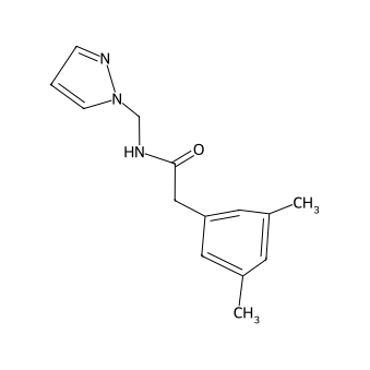 Cc1cc(C)cc(CC(=O)NCn2cccn2)c1